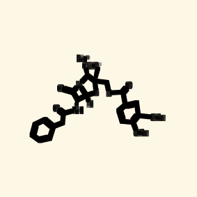 CC(=O)Oc1ccc(C(=O)SC[C@]2(C)S[C@@H]3[C@H](NC(=O)Cc4ccccc4)C(=O)N3[C@H]2C(=O)[O-])cc1OC(C)=O.[Na+]